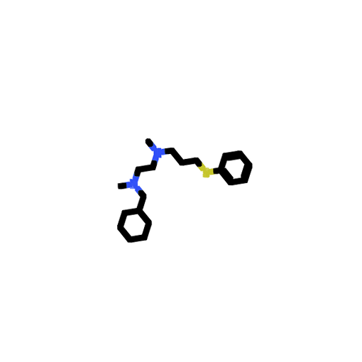 CN(CCCSc1ccccc1)CCN(C)CC1CCCCC1